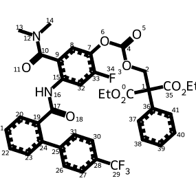 CCOC(=O)C(COC(=O)Oc1cc(C(=O)N(C)C)c(NC(=O)c2ccccc2-c2ccc(C(F)(F)F)cc2)cc1F)(C(=O)OCC)c1ccccc1